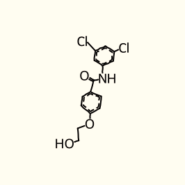 O=C(Nc1cc(Cl)cc(Cl)c1)c1ccc(OCCO)cc1